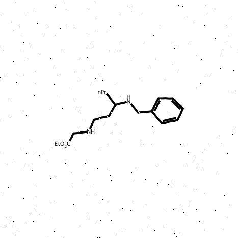 CCCC(CCNCC(=O)OCC)NCc1ccccc1